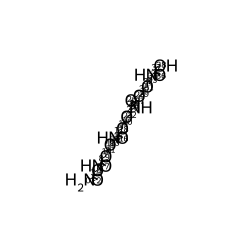 NC(=O)CONC(=O)COCCOCNC(=O)COCCOCCNC(=O)COCCOCCNC(=O)CO